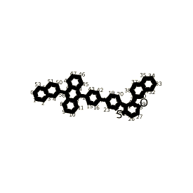 c1ccc2cc(-c3c4ccccc4c(-c4ccc(-c5ccc6c(c5)sc5ccc7oc8c9ccccc9ccc8c7c56)cc4)c4ccccc34)ccc2c1